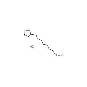 CCCCCCCCCCCCCCN1C=CSC1.Cl